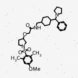 COc1cc(C)c(S(=O)(=O)N2CCC(OCC(=O)NCC3CCC(C(c4ccccc4)N4CCCC4)CC3)C2)c(C)c1